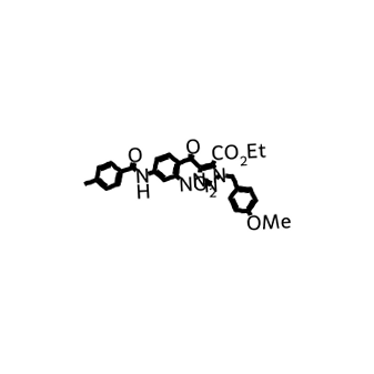 CCOC(=O)c1c(C(=O)c2ccc(NC(=O)c3ccc(C)cc3)cc2[N+](=O)[O-])nnn1Cc1ccc(OC)cc1